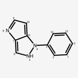 c1ccc(-n2[nH]cc3nccc2-3)cc1